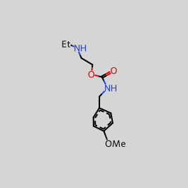 CCNCCOC(=O)NCc1ccc(OC)cc1